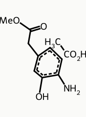 CC(=O)O.COC(=O)Cc1ccc(N)c(O)c1